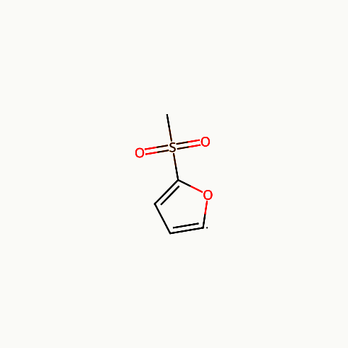 CS(=O)(=O)c1cc[c]o1